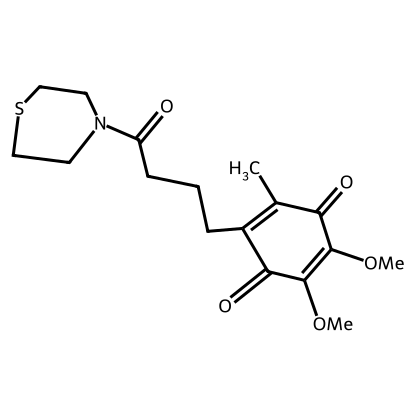 COC1=C(OC)C(=O)C(CCCC(=O)N2CCSCC2)=C(C)C1=O